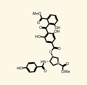 COC(=O)c1cccc(O)c1C(=O)c1c(O)cc(C(=O)O[C@H]2CN(C(=O)OC)C[C@@H]2NC(=O)c2ccc(O)cc2)cc1O